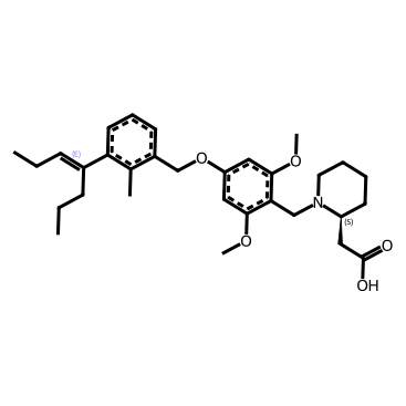 CC/C=C(\CCC)c1cccc(COc2cc(OC)c(CN3CCCC[C@H]3CC(=O)O)c(OC)c2)c1C